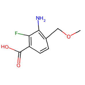 COCc1ccc(C(=O)O)c(F)c1N